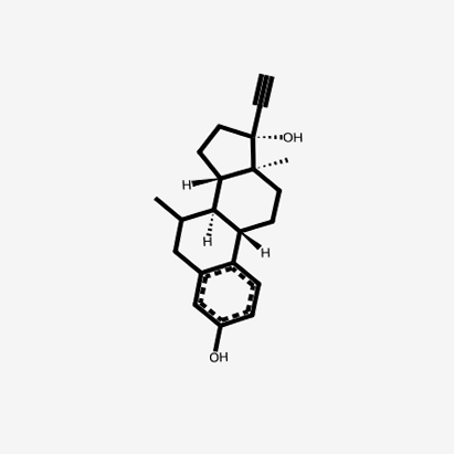 C#C[C@]1(O)CC[C@H]2[C@@H]3C(C)Cc4cc(O)ccc4[C@H]3CC[C@@]21C